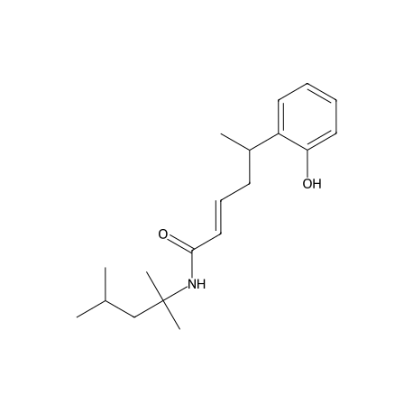 CC(C)CC(C)(C)NC(=O)/C=C/CC(C)c1ccccc1O